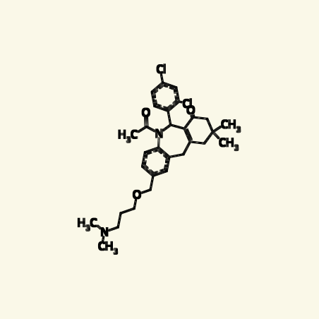 CC(=O)N1c2ccc(COCCCN(C)C)cc2CC2=C(C(=O)CC(C)(C)C2)C1c1ccc(Cl)cc1Cl